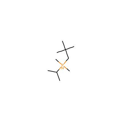 CC(C)[PH](C)(C)CC(C)(C)C